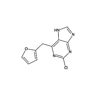 Clc1nc(Cc2ccco2)c2[nH]cnc2n1